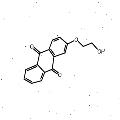 O=C1c2ccccc2C(=O)c2cc(OCCO)ccc21